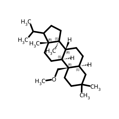 COC[C@]12CCC(C)(C)C[C@@H]1CC[C@@H]1[C@@H]2CC[C@]2(C)C(C(C)C)CC[C@@]12C